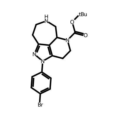 CC(C)(C)OC(=O)N1CCc2c3c(nn2-c2ccc(Br)cc2)CCNCC31